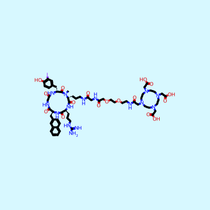 CN1C(=O)[C@@H](Cc2ccc(O)c(I)c2)NC(=O)CNC(=O)[C@H](Cc2ccc3ccccc3c2)NC(=O)[C@H](CCCNC(=N)N)NC(=O)[C@H]1CCCNC(=O)CNC(=O)COCCOCCNC(=O)CN1CCN(CC(=O)O)CCN(CC(=O)O)CCN(CC(=O)O)CC1